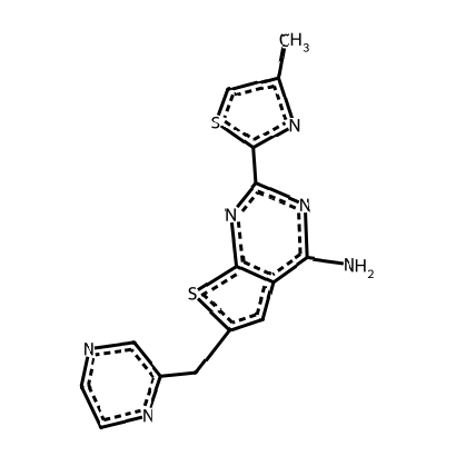 Cc1csc(-c2nc(N)c3cc(Cc4cnccn4)sc3n2)n1